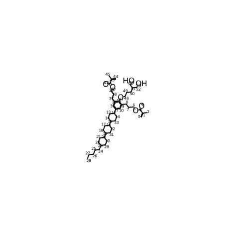 C=C(C)C(=O)OCCCc1cc(C2CCC(C3CCC(C4CCC(CCCCC)CC4)CC3)CC2)cc(CCCOC(=O)C(=C)C)c1OCCCC(CO)CO